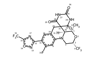 C[C@@H]1O[C@H](C(F)(F)F)CN2c3cc(F)c(-c4noc(C(F)(F)F)n4)cc3CC3(C(=O)NC(=O)NC3=O)[C@@H]12